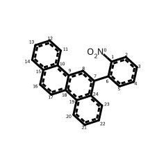 O=[N+]([O-])c1ccccc1-c1cc2c3ccccc3ccc2c2ccccc12